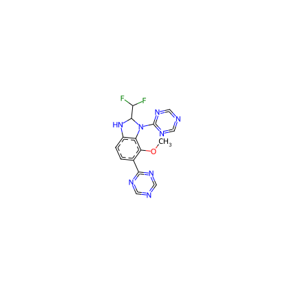 COc1c(-c2ncncn2)ccc2c1N(c1ncncn1)C(C(F)F)N2